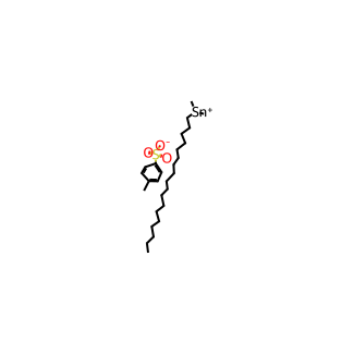 CCCCCCCCCCCCCCCCC[CH2][Sn+]([CH3])[CH3].Cc1ccc(S(=O)(=O)[O-])cc1